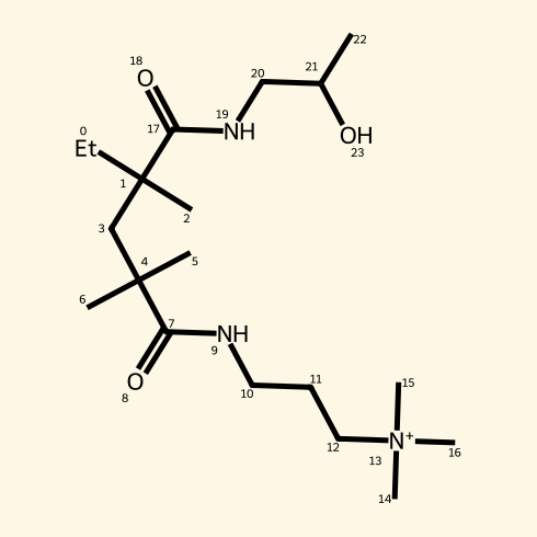 CCC(C)(CC(C)(C)C(=O)NCCC[N+](C)(C)C)C(=O)NCC(C)O